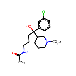 CNC(=O)NCCCC(O)(c1cccc(Cl)c1)C1CCCN(C(=O)O)C1